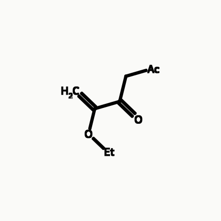 C=C(OCC)C(=O)CC(C)=O